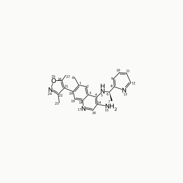 Cc1cc2c(N[C@H](C)c3ccccn3)c(N)cnc2cc1-c1c(C)noc1C